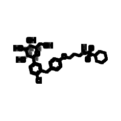 O=S(=O)(NCCCOc1ccc(Cc2cc([C@@H]3O[C@H](CO)[C@@H](O)[C@H](O)[C@H]3O)ccc2Cl)cc1)C1CCCCC1